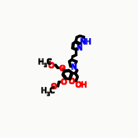 COCCOc1cc(OCCOC)cc(C(CC(=O)O)CN2CC[C@@H](CCc3ccc4c(n3)NCCC4)C2)c1